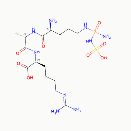 C[C@H](NC(=O)[C@@H](N)CCCNP(N)(=O)NS(=O)(=O)O)C(=O)N[C@@H](CCCCN=C(N)N)C(=O)O